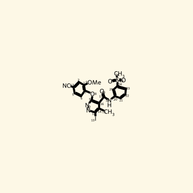 COc1cc(C#N)ccc1Oc1nnc(I)c(C)c1C(=O)Nc1cccc(S(C)(=O)=O)c1